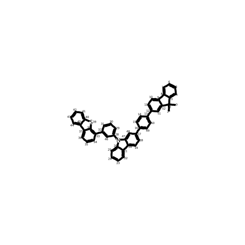 CC1(C)c2ccccc2-c2ccc(-c3ccc(-c4ccc5c6ccccc6n(-c6cccc(-c7cccc8c7sc7ccccc78)c6)c5c4)cc3)cc21